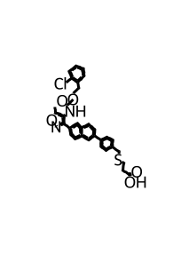 Cc1onc(-c2ccc3cc(-c4ccc(CSCCC(=O)O)cc4)ccc3c2)c1NC(=O)OCCc1ccccc1Cl